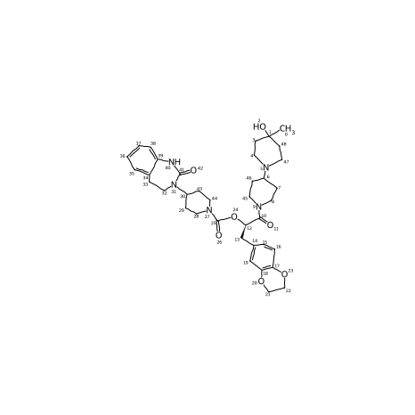 CC1(O)CCN(C2CCN(C(=O)[C@@H](Cc3ccc4c(c3)OCCO4)OC(=O)N3CCC(N4CCc5ccccc5NC4=O)CC3)CC2)CC1